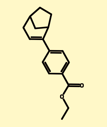 CCOC(=O)c1ccc(C2=CCC3CCC2C3)cc1